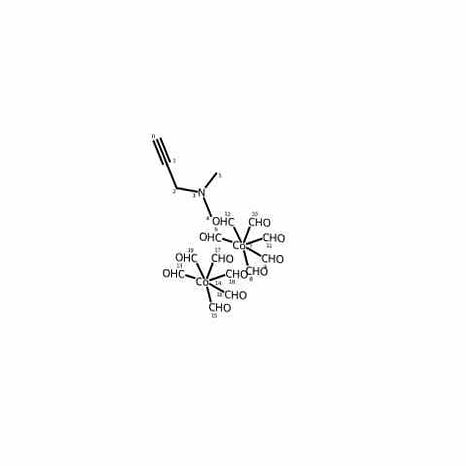 C#CCN(C)C.O=[CH][Co]([CH]=O)([CH]=O)([CH]=O)([CH]=O)[CH]=O.O=[CH][Co]([CH]=O)([CH]=O)([CH]=O)([CH]=O)[CH]=O